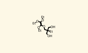 CCOC(OCC)=C(OCC)OCC(CC)(CO)CO